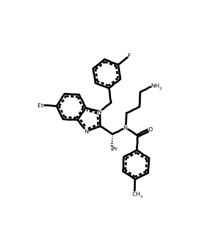 CCc1ccc2c(c1)nc([C@@H](C(C)C)N(CCCN)C(=O)c1ccc(C)cc1)n2Cc1cccc(F)c1